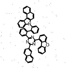 c1ccc(-c2ccccc2-n2c3ccccc3c3c4ccccc4ccc32)c(-c2nc(-c3ccc4ccccc4c3)nc(-c3cccc4oc5ccccc5c34)n2)c1